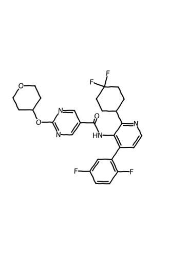 O=C(Nc1c(-c2cc(F)ccc2F)ccnc1C1CCC(F)(F)CC1)c1cnc(OC2CCOCC2)nc1